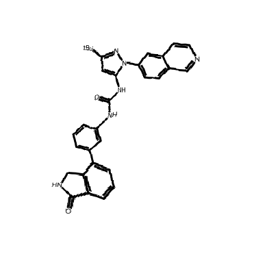 CC(C)(C)c1cc(NC(=O)Nc2cccc(-c3cccc4c3CNC4=O)c2)n(-c2ccc3cnccc3c2)n1